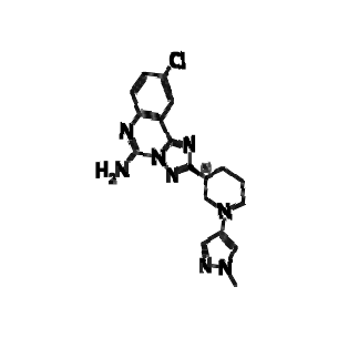 Cn1cc(N2CCC[C@H](c3nc4c5cc(Cl)ccc5nc(N)n4n3)C2)cn1